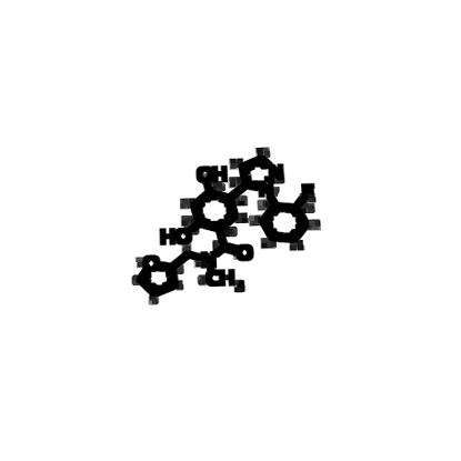 CN(Cc1ccco1)C(=O)c1cc(-c2ccnn2-c2ccccc2F)c(O)cc1O